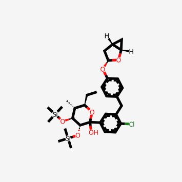 CC[C@H]1OC(O)(c2ccc(Cl)c(Cc3ccc(O[C@H]4C[C@@H]5C[C@@H]5O4)cc3)c2)[C@H](O[Si](C)(C)C)[C@@H](O[Si](C)(C)C)[C@@H]1C